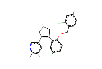 O=C([O-])c1cc(C2=C(c3cc(Cl)ccc3OCc3ccc(F)cc3Cl)CCC2)cnc1C(F)(F)F.[Na+]